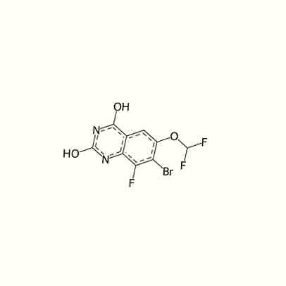 Oc1nc(O)c2cc(OC(F)F)c(Br)c(F)c2n1